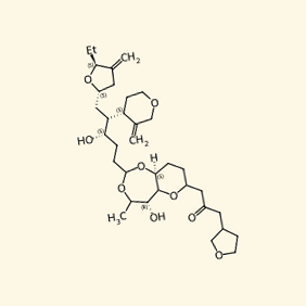 C=C1C[C@H](CC([C@@H]2CCOCC2=C)[C@@H](O)CCC2OC(C)[C@@H](O)C3OC(CC(=O)CC4CCOC4)CC[C@@H]3O2)O[C@H]1CC